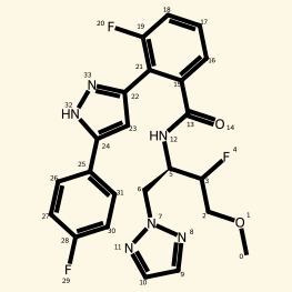 COCC(F)[C@@H](Cn1nccn1)NC(=O)c1cccc(F)c1-c1cc(-c2ccc(F)cc2)[nH]n1